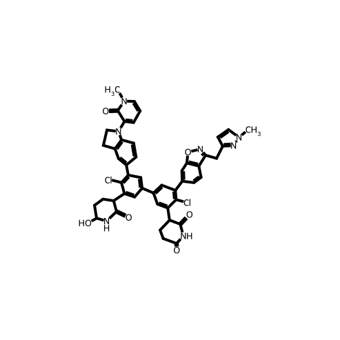 Cn1ccc(Cc2noc3cc(-c4cc(-c5cc(-c6ccc7c(c6)CCN7c6cccn(C)c6=O)c(Cl)c(C6CCC(O)NC6=O)c5)cc(C5CCC(=O)NC5=O)c4Cl)ccc23)n1